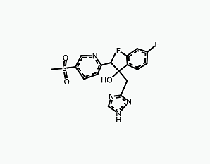 CC(c1ccc(S(C)(=O)=O)cn1)C(O)(Cc1nc[nH]n1)c1ccc(F)cc1F